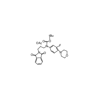 CC(=O)O[C@@H](CN1C(=O)c2ccccc2C1=O)CN(C(=O)OC(C)(C)C)c1ccc(N2CCOCC2)c(F)c1